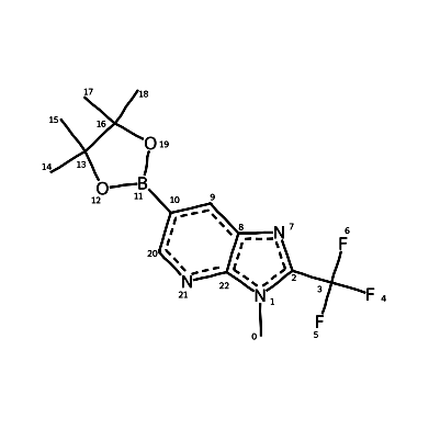 Cn1c(C(F)(F)F)nc2cc(B3OC(C)(C)C(C)(C)O3)cnc21